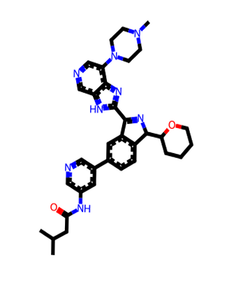 CC(C)CC(=O)Nc1cncc(-c2ccc3c(c2)C(c2nc4c(N5CCN(C)CC5)cncc4[nH]2)=NC3C2CCCCO2)c1